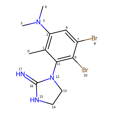 Cc1c(N(C)C)cc(Br)c(Br)c1N1CCNC1=N